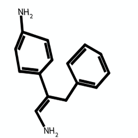 N/C=C(\Cc1ccccc1)c1ccc(N)cc1